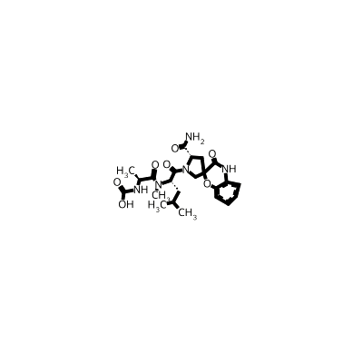 CC(C)C[C@@H](C(=O)N1CC2(C[C@H]1C(N)=O)Oc1ccccc1NC2=O)N(C)C(=O)[C@H](C)NC(=O)O